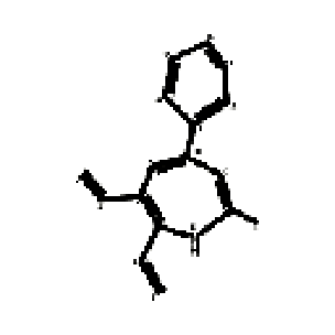 C=CC1=C(C=C)NC(C)=CC(c2ccccc2)=C1